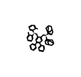 Cc1ccccc1P(Cc1cc(-c2ccccc2)c(-c2ccccc2)cc1CP(C1C2CC3CC(C2)CC1C3)C1C2CC3CC(C2)CC1C3)c1ccccc1C